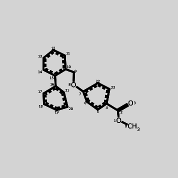 COC(=O)c1ccc(OCc2ccccc2-c2ccccc2)cc1